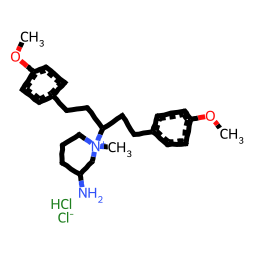 COc1ccc(CCC(CCc2ccc(OC)cc2)[N+]2(C)CCCC(N)C2)cc1.Cl.[Cl-]